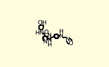 O=C(NC1CCC(O)CC1)c1ccnc2[nH]c(-c3ccc(NCCN4CCOCC4)cc3)nc12